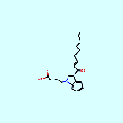 CCCCCCC=CC(=O)c1cn(CCCC(=O)O)c2ccccc12